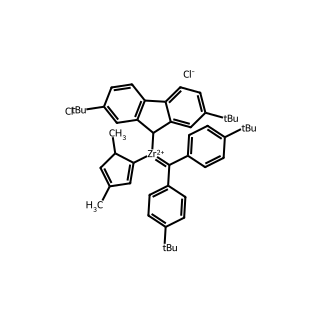 CC1=CC(C)[C]([Zr+2](=[C](c2ccc(C(C)(C)C)cc2)c2ccc(C(C)(C)C)cc2)[CH]2c3cc(C(C)(C)C)ccc3-c3ccc(C(C)(C)C)cc32)=C1.[Cl-].[Cl-]